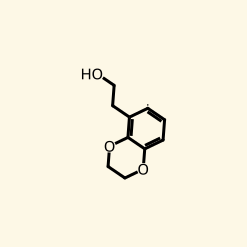 OCCc1[c]ccc2c1OCCO2